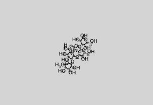 CC(=O)N[C@H]1[C@H](O[C@H]2[C@@H](O)[C@@H](CO)OC(O)[C@@H]2O)O[C@H](CO)[C@@H](O)[C@@H]1O[C@@H]1O[C@H](CO)[C@H](O)[C@H](O)[C@H]1O[C@@H]1O[C@@H](C)[C@@H](O)[C@@H](O)[C@@H]1O